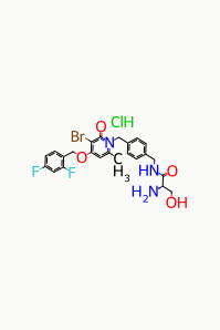 Cc1cc(OCc2ccc(F)cc2F)c(Br)c(=O)n1Cc1ccc(CNC(=O)[C@H](N)CO)cc1.Cl